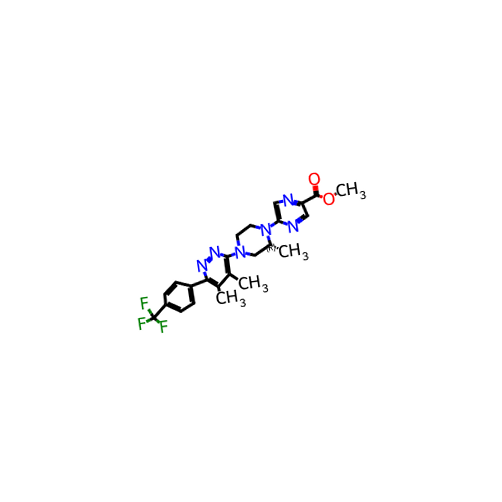 COC(=O)c1cnc(N2CCN(c3nnc(-c4ccc(C(F)(F)F)cc4)c(C)c3C)C[C@H]2C)cn1